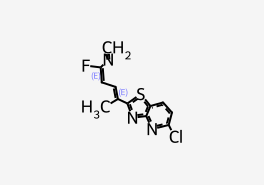 C=N/C(F)=C\C=C(/C)c1nc2nc(Cl)ccc2s1